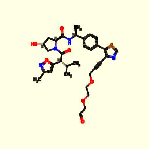 Cc1cc([C@H](C(=O)N2C[C@H](O)C[C@H]2C(=O)N[C@@H](C)c2ccc(-c3scnc3C#CCOCCOCC=O)cc2)C(C)C)on1